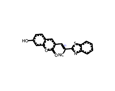 N#C/C(=C\c1cc2ccc(O)cc2oc1=O)c1nc2ccccc2s1